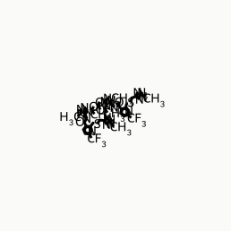 CC(OC(=O)OC(C)n1nnn(C)c1=NC(=O)c1ccc(C(F)(F)F)nc1CSCc1nnn(C)n1)n1nnn(C)c1=NC(=O)c1ccc(C(F)(F)F)nc1CSCc1nnn(C)n1